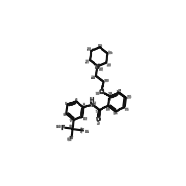 O=C(Nc1cccc(C(F)(F)F)c1)c1ccccc1OCCN1CCCCC1